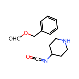 O=C=NC1CCNCC1.O=COCc1ccccc1